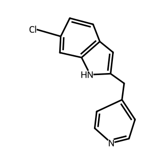 Clc1ccc2cc(Cc3ccncc3)[nH]c2c1